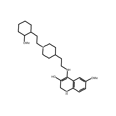 COc1ccc2c(c1)C(NCCC1CCN(CCC3CCCCC3OC)CC1)=C(O)CN2